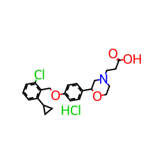 Cl.O=C(O)CCN1CCOC(c2ccc(OCc3c(Cl)cccc3C3CC3)cc2)C1